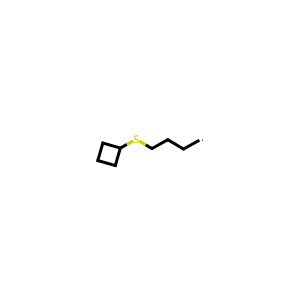 [CH2]CCCSC1CCC1